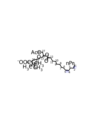 CCC/C=C\C/C=C\CCCCCCCC(=O)OC(COCCC(C(=O)[O-])[N+](C)(C)C)COC(C)=O